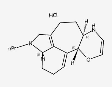 CCCN1CC2=C3C(=CCC[C@@H]31)[C@H]1OC=CN[C@@H]1CC2.Cl